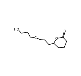 O=C1CCCC(CCCCCCCO)O1